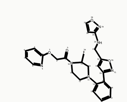 O=C(COc1ccccn1)N1CCN(c2ccccc2-c2cc(CNc3ccon3)on2)CC1F